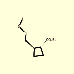 CCOC(=O)[C@@H]1CC[C@H]1COSI